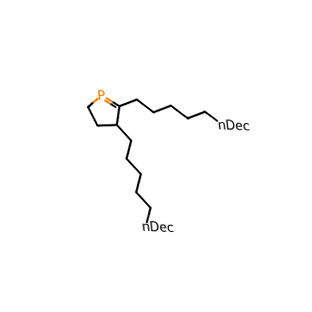 CCCCCCCCCCCCCCCC1=PCCC1CCCCCCCCCCCCCCC